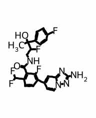 CC(O)(c1ccc(F)cc1)C(F)CNC(=O)c1c(C(F)F)ccc(-c2ccn3nc(N)nc3c2)c1F